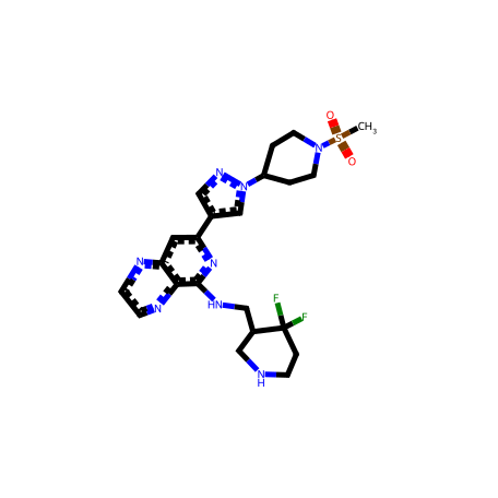 CS(=O)(=O)N1CCC(n2cc(-c3cc4nccnc4c(NCC4CNCCC4(F)F)n3)cn2)CC1